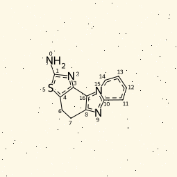 Nc1nc2c(s1)CCc1nc3ccccn3c1-2